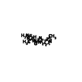 Cc1cnc2ccc(Cc3cncc(C(=O)NCc4ccc(N)nc4C)n3)cc2c1